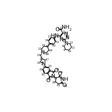 NC(=O)c1nnc(N2CCCCC2)nc1Nc1ccc(C2CCN(CC3CN(c4ccc5c(c4)C(=O)N(C4CCC(=O)NC4=O)C5=O)C3)CC2)cc1